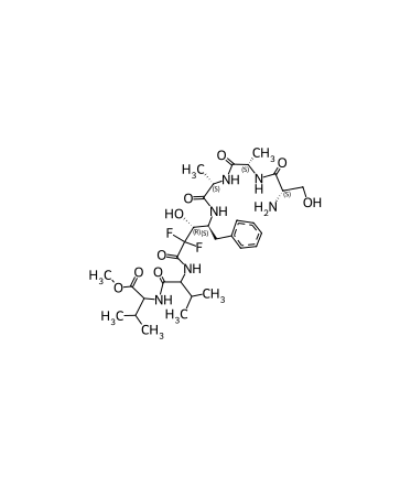 COC(=O)C(NC(=O)C(NC(=O)C(F)(F)[C@H](O)[C@H](Cc1ccccc1)NC(=O)[C@H](C)NC(=O)[C@H](C)NC(=O)[C@@H](N)CO)C(C)C)C(C)C